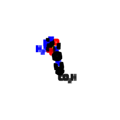 Nc1ncnc2c1S(=O)(=O)N(c1ccc(N3CCC4(CC3)CC(C(=O)O)C4)cc1)CCO2